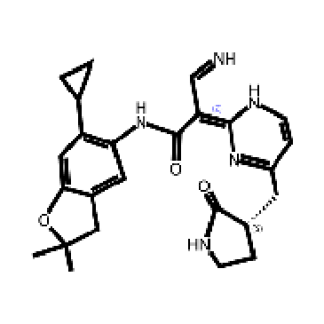 CC1(C)Cc2cc(NC(=O)/C(C=N)=C3\N=C(C[C@@H]4CCNC4=O)C=CN3)c(C3CC3)cc2O1